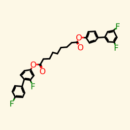 O=C(CCCCCCCC(=O)Oc1ccc(-c2ccc(F)cc2)c(F)c1)Oc1ccc(-c2cc(F)cc(F)c2)cc1